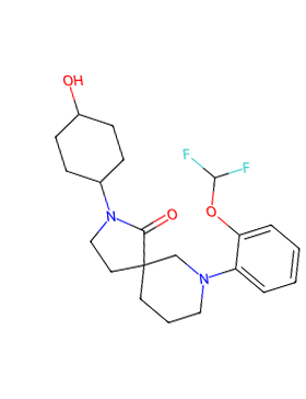 O=C1N(C2CCC(O)CC2)CCC12CCCN(c1ccccc1OC(F)F)C2